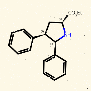 CCOC(=O)[C@@H]1C[C@H](c2ccccc2)[C@H](c2ccccc2)N1